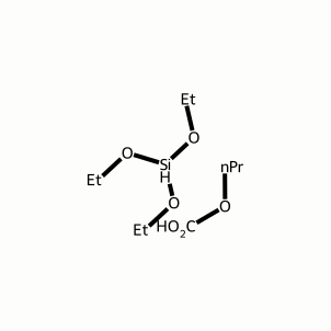 CCCOC(=O)O.CCO[SiH](OCC)OCC